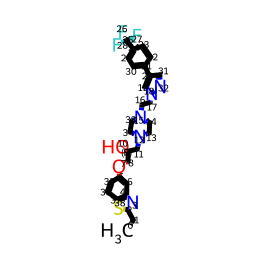 CCc1nc2cc(OC[C@H](O)CN3CCN(CCn4cc(-c5ccc(C(F)(F)F)cc5)cn4)CC3)ccc2s1